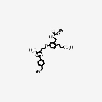 Cc1oc(-c2ccc(CC(C)C)cc2)nc1CCOc1ccc(CCC(=O)O)c(CNC(=O)OC(C)C)c1